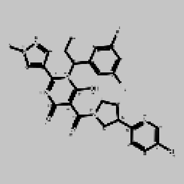 CCC(c1cc(F)cc(F)c1)n1c(-c2cnn(C)c2)nc(=O)c(C(=O)N2CCC(c3ccc(Cl)cn3)C2)c1O